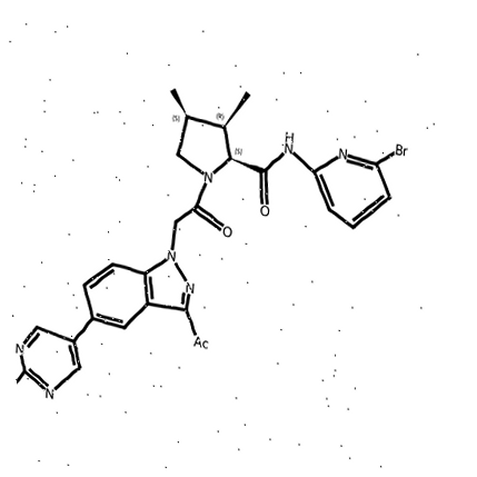 CC(=O)c1nn(CC(=O)N2C[C@@H](C)[C@@H](C)[C@H]2C(=O)Nc2cccc(Br)n2)c2ccc(-c3cnc(C)nc3)cc12